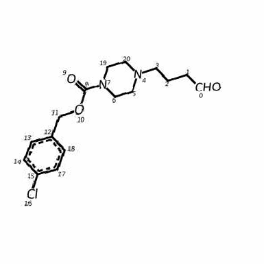 O=CCCCN1CCN(C(=O)OCc2ccc(Cl)cc2)CC1